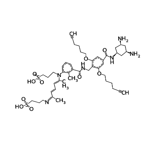 C#CCCCCOc1cc(C(=O)N[C@@H]2C[C@H](N)C[C@H](N)C2)cc(OCCCCC#C)c1CNC(=O)c1cccc(N(CCCS(=O)(=O)O)/C(C)=C/C=C/C(C)=N\CCCS(=O)(=O)O)c1C